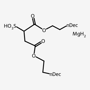 CCCCCCCCCCCCOC(=O)CC(C(=O)OCCCCCCCCCCCC)S(=O)(=O)O.[MgH2]